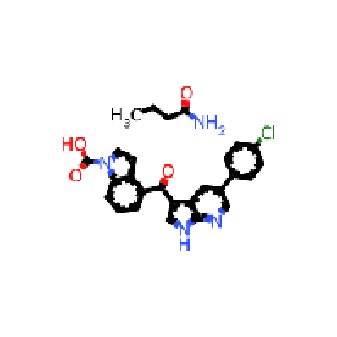 CCCC(N)=O.O=C(c1c[nH]c2ncc(-c3ccc(Cl)cc3)cc12)c1cccc2c1ccn2C(=O)O